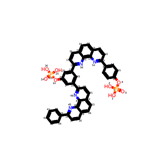 O=P(O)(O)Oc1ccc(-c2ccc3ccc4ccc(-c5cc(OP(=O)(O)O)cc(-c6ccc7ccc8ccc(-c9ccccc9)nc8c7n6)c5)nc4c3n2)cc1